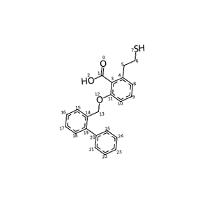 O=C(O)c1c(CCS)cccc1OCc1ccccc1-c1ccccc1